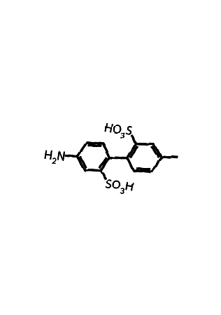 Cc1ccc(-c2ccc(N)cc2S(=O)(=O)O)c(S(=O)(=O)O)c1